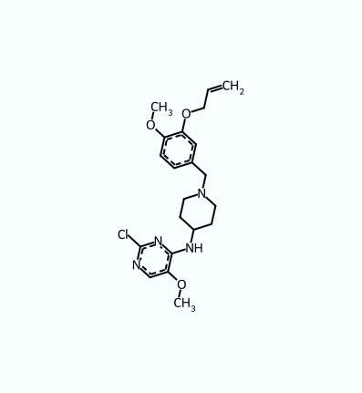 C=CCOc1cc(CN2CCC(Nc3nc(Cl)ncc3OC)CC2)ccc1OC